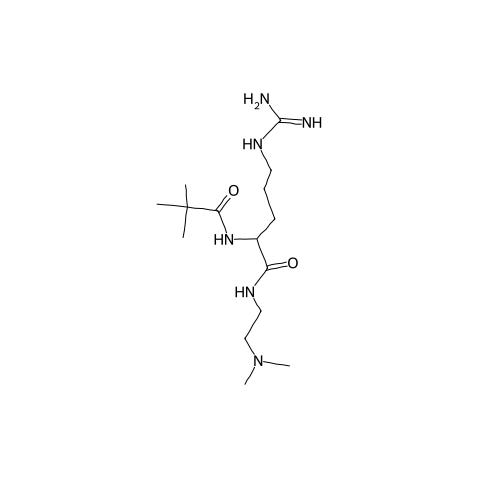 CN(C)CCNC(=O)C(CCCNC(=N)N)NC(=O)C(C)(C)C